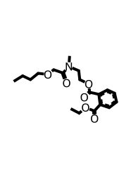 CCCCOCC(=O)N(C)CCOC(=O)c1ccccc1C(=O)OCC